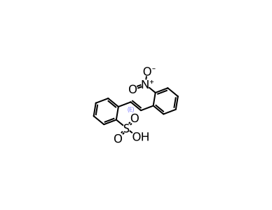 O=[N+]([O-])c1ccccc1/C=C/c1ccccc1S(=O)(=O)O